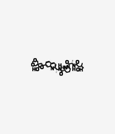 CC(C)[C@H](O)C(=O)N[C@@H](C)C(=O)N1CCC[C@@H](C(=O)N[C@H](C)c2ccc3ccc(/C=C/C4(C(=O)O)COCOC4)cc3n2)N1